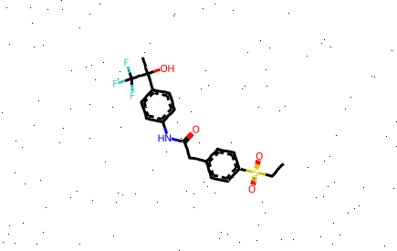 CCS(=O)(=O)c1ccc(CC(=O)Nc2ccc(C(C)(O)C(F)(F)F)cc2)cc1